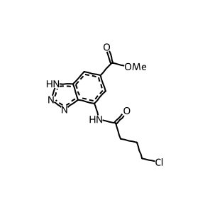 COC(=O)c1cc(NC(=O)CCCCl)c2nn[nH]c2c1